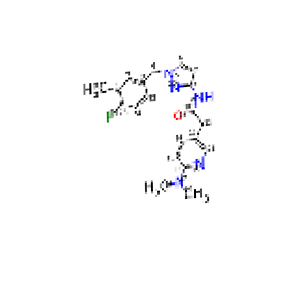 Cc1cc(Cn2ccc(NC(=O)Cc3ccc(N(C)C)nc3)n2)ccc1F